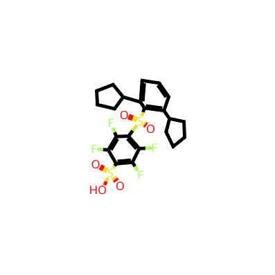 O=S(=O)(O)c1c(F)c(F)c(S(=O)(=O)c2c(C3CCCC3)cccc2C2CCCC2)c(F)c1F